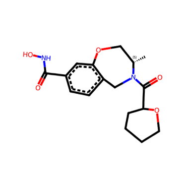 C[C@H]1COc2cc(C(=O)NO)ccc2CN1C(=O)C1CCCCO1